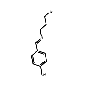 Cc1ccc(/C=N/CCCBr)cc1